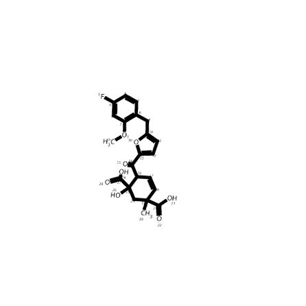 COc1cc(F)ccc1Cc1ccc(C(=O)C2C=CC(C)(C(=O)O)CC2(O)C(=O)O)o1